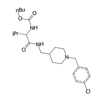 CCCCOC(=O)NC(C(=O)NCC1CCN(Cc2ccc(Cl)cc2)CC1)C(C)C